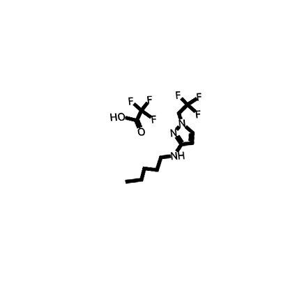 CCCCCNc1ccn(CC(F)(F)F)n1.O=C(O)C(F)(F)F